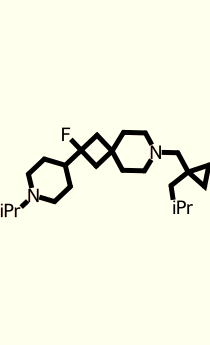 CC(C)CC1(CN2CCC3(CC2)CC(F)(C2CCN(C(C)C)CC2)C3)CC1